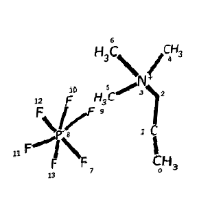 CCC[N+](C)(C)C.F[P-](F)(F)(F)(F)F